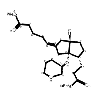 CCCCCC(=O)CC[C@H]1CC[C@H]2CC(=CCCCC(=O)OC)C[C@]12OC1CCCOC1